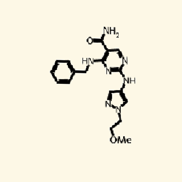 COCCn1cc(Nc2ncc(C(N)=O)c(NCc3ccccc3)n2)cn1